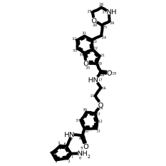 Nc1ccccc1NC(=O)c1ccc(OCCNC(=O)c2cc3c(CC4CNCCO4)cccc3o2)cc1